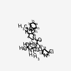 CN1N=C2CCN(C(=O)[C@@H](COc3cncc(Cl)c3)NC(=O)C(C)(C)NC(=O)O)C[C@@]2(Cc2ccccc2)C1=O